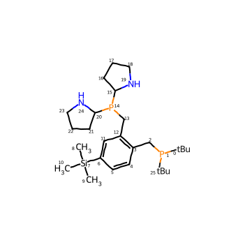 CC(C)(C)P(Cc1ccc([Si](C)(C)C)cc1CP(C1CCCN1)C1CCCN1)C(C)(C)C